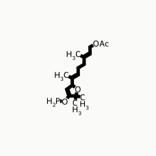 CC(=O)OC/C=C(\C)CC/C=C(\C)C1C=C(OP)C(C)(C)O1